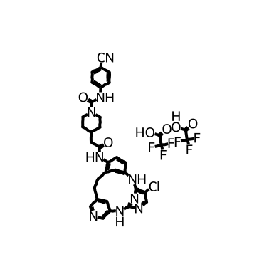 N#Cc1ccc(NC(=O)N2CCC(CC(=O)Nc3ccc4cc3CCc3cncc(c3)Nc3ncc(Cl)c(n3)N4)CC2)cc1.O=C(O)C(F)(F)F.O=C(O)C(F)(F)F